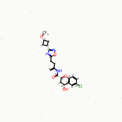 C=C(CCc1nc([C@H]2C[C@@H](OC(F)(F)F)C2)no1)NC(=O)[C@H]1C[C@@H](O)c2cc(Cl)ccc2O1